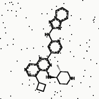 C[C@@H]1CNCC[C@H]1Nc1nc(-c2ccnc(Nc3nc4ccccn4n3)c2)nc2cncc(C3CCC3)c12